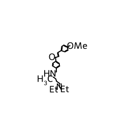 CCN(CC)CCCC(C)NCc1ccc(C(=O)C=Cc2ccc(OC)cc2)cc1